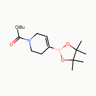 CC(C)COC(=O)N1CC=C(B2OC(C)(C)C(C)(C)O2)CC1